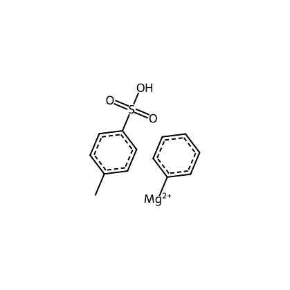 Cc1ccc(S(=O)(=O)O)cc1.[Mg+2][c]1ccccc1